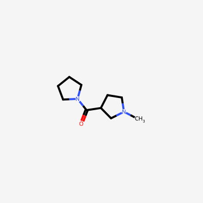 CN1CCC(C(=O)N2CCCC2)C1